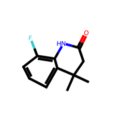 CC1(C)CC(=O)Nc2c(F)cccc21